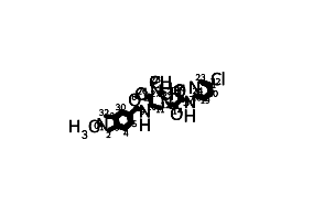 CN1Cc2ccc(C(=O)NC(CNC(=O)C(=O)Nc3ccc(Cl)cn3)C(=O)N(C)C)cc2C1